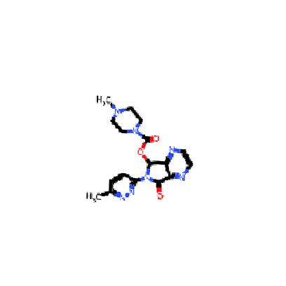 Cc1ccc(N2C(=O)c3nccnc3C2OC(=O)N2CCN(C)CC2)nn1